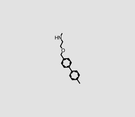 CNCCOCc1ccc(-c2ccc(C)cc2)cc1